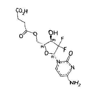 Nc1ccn([C@@H]2O[C@H](COC(=O)CCC(=O)O)[C@@H](O)C2(F)F)c(=O)n1